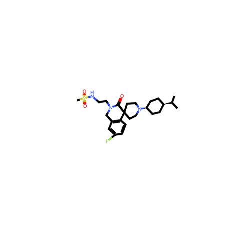 CC(C)[C@H]1CC[C@@H](N2CCC3(CC2)C(=O)N(CCNS(C)(=O)=O)Cc2cc(F)ccc23)CC1